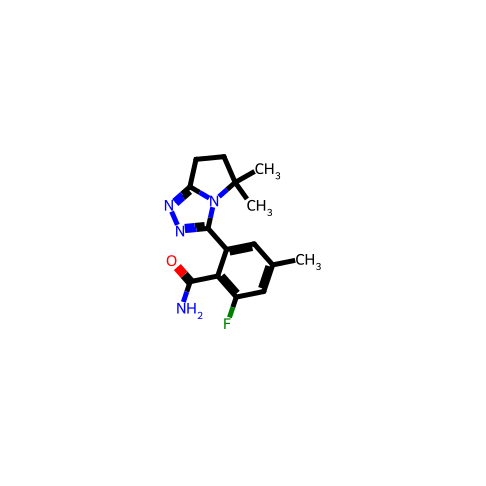 Cc1cc(F)c(C(N)=O)c(-c2nnc3n2C(C)(C)CC3)c1